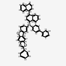 c1ccc(-c2ccc(N(c3ccc4oc5cc6nc(-c7ccccc7)oc6cc5c4c3)c3ccc(-c4cccc5ccccc45)c4ccccc34)cc2)cc1